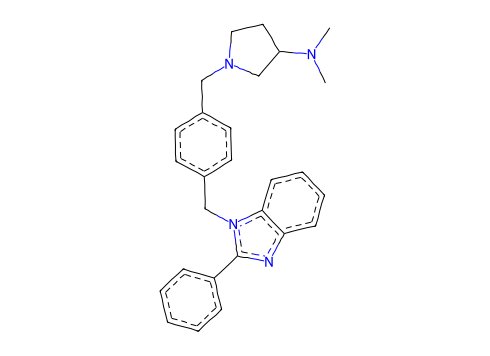 CN(C)C1CCN(Cc2ccc(Cn3c(-c4ccccc4)nc4ccccc43)cc2)C1